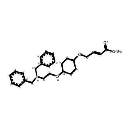 COC(=O)/C=C/COC1CCC(OCCN(Cc2ccccc2)Cc2ccccc2)CC1